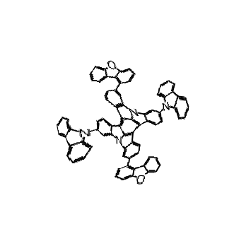 c1ccc2c(c1)oc1cccc(-c3ccc4c5c6c7ccc(-n8c9ccccc9c9ccccc98)cc7n7c8cc(-c9cccc%10oc%11ccccc%11c9%10)ccc8c(c8c9ccc(-n%10c%11ccccc%11c%11ccccc%11%10)cc9n(c4c3)c58)c67)c12